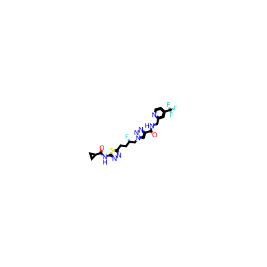 O=C(NCc1cc(C(F)(F)F)ccn1)c1cn(CC(F)CCc2nnc(NC(=O)C3CC3)s2)nn1